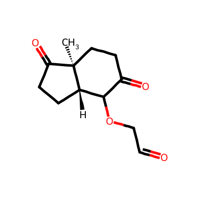 C[C@]12CCC(=O)C(OCC=O)[C@@H]1CCC2=O